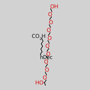 CC(O)COCCOCCOCCOCCOCCOCCOCCOCCOCCO.CCCCCCCCCCCCCCCCCC(=O)O